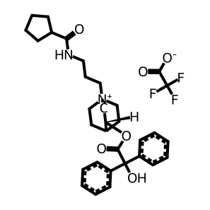 O=C(NCCC[N+]12CCC(CC1)[C@@H](OC(=O)C(O)(c1ccccc1)c1ccccc1)C2)C1CCCC1.O=C([O-])C(F)(F)F